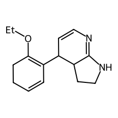 CCOC1=C(C2C=CN=C3NCCC32)C=CCC1